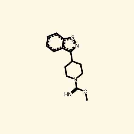 COC(=N)N1CCC(c2nsc3ccccc23)CC1